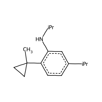 CC(C)Nc1cc(C(C)C)ccc1C1(C)CC1